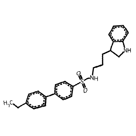 CCc1ccc(-c2ccc(S(=O)(=O)NCCCC3CNc4ccccc43)cc2)cc1